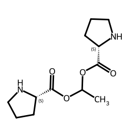 CC(OC(=O)[C@@H]1CCCN1)OC(=O)[C@@H]1CCCN1